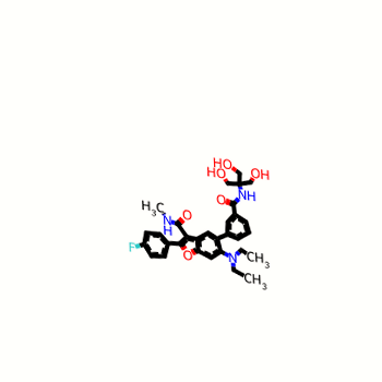 CCN(CC)c1cc2oc(-c3ccc(F)cc3)c(C(=O)NC)c2cc1-c1cccc(C(=O)NC(CO)(CO)CO)c1